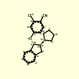 N#Cc1ccc(O[C@H]2c3ccccc3C[C@@H]2N2CCCC2)cc1Cl